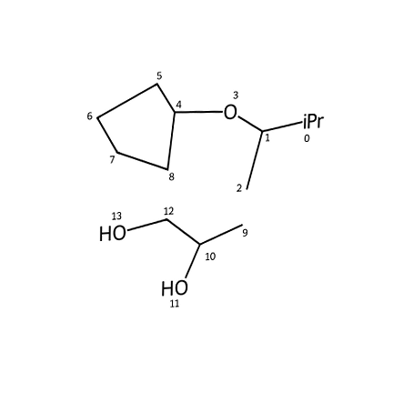 CC(C)C(C)OC1CCCC1.CC(O)CO